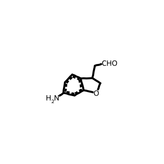 Nc1ccc2c(c1)OCC2CC=O